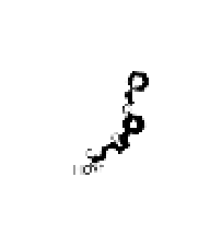 O=C(/C=C/c1ccc(-c2cccc(OCCN3CCCCC3)c2)o1)NO